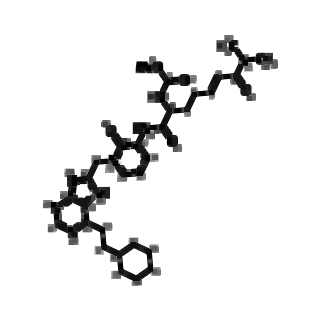 COC(=O)NC(CCC=CC(=O)N(C)C)C(=O)Nc1cccn(Cc2nc3ncnc(CCC4CCCCC4)c3[nH]2)c1=O